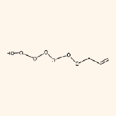 C=CCOOOOOOO